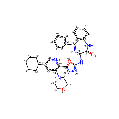 O=C1Nc2ccccc2C(c2ccccc2)=N[C@@H]1Nc1nnc(-c2ncc(C3CCCCC3)cc2N2CCOCC2)o1